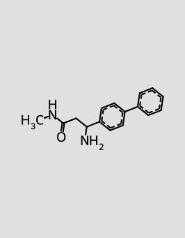 CNC(=O)CC(N)c1ccc(-c2ccccc2)cc1